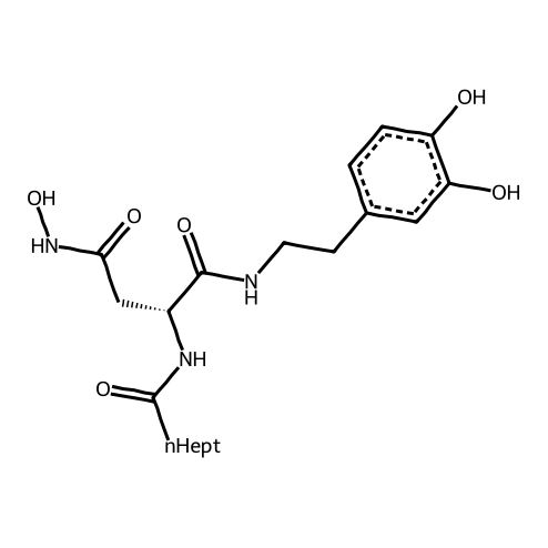 CCCCCCCC(=O)N[C@H](CC(=O)NO)C(=O)NCCc1ccc(O)c(O)c1